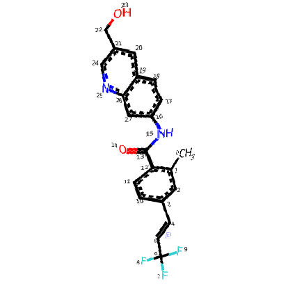 Cc1cc(/C=C/C(F)(F)F)ccc1C(=O)Nc1ccc2cc(CO)cnc2c1